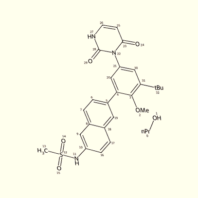 CCCO.COc1c(-c2ccc3cc(NS(C)(=O)=O)ccc3c2)cc(-n2c(=O)cc[nH]c2=O)cc1C(C)(C)C